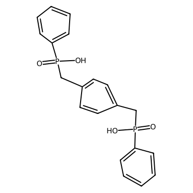 O=P(O)(Cc1ccc(CP(=O)(O)c2ccccc2)cc1)c1ccccc1